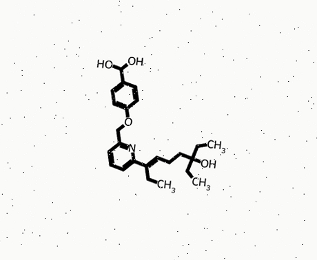 CCC(=CCCC(O)(CC)CC)c1cccc(COc2ccc(C(O)O)cc2)n1